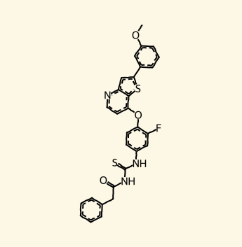 COc1cccc(-c2cc3nccc(Oc4ccc(NC(=S)NC(=O)Cc5ccccc5)cc4F)c3s2)c1